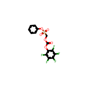 O=C(OCS(=O)(=O)Oc1ccccc1)Oc1c(F)c(F)c(F)c(F)c1F